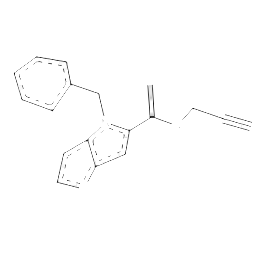 C#CCNC(=O)c1cc2sccc2n1Cc1ccccc1